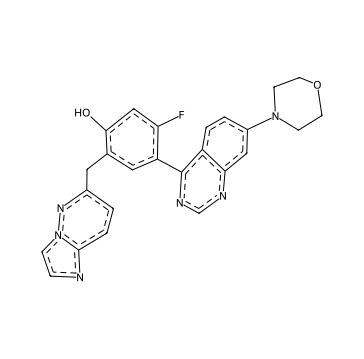 Oc1cc(F)c(-c2ncnc3cc(N4CCOCC4)ccc23)cc1Cc1ccc2nccn2n1